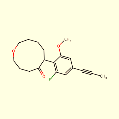 CC#Cc1cc(F)c(C2CCCCOCCCC2=O)c(OC)c1